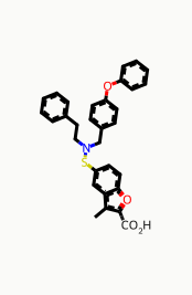 Cc1c(C(=O)O)oc2ccc(SN(CCc3ccccc3)Cc3ccc(Oc4ccccc4)cc3)cc12